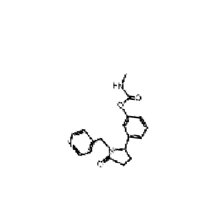 CNC(=O)Oc1cccc(C2CCC(=O)N2Cc2ccncc2)c1